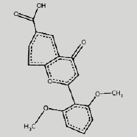 COc1cccc(OC)c1-c1cc(=O)c2cc(C(=O)O)ccc2o1